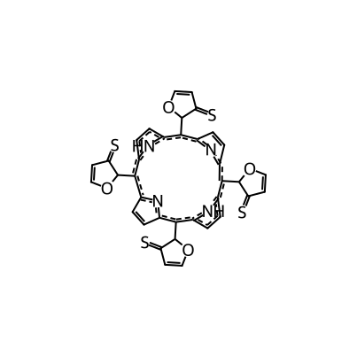 S=C1C=COC1c1c2nc(c(C3OC=CC3=S)c3ccc([nH]3)c(C3OC=CC3=S)c3nc(c(C4OC=CC4=S)c4ccc1[nH]4)C=C3)C=C2